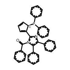 O=C(c1ccccc1)n1c(C2=CC=C[C@H]2P(c2ccccc2)c2ccccc2)nc(-c2ccccc2)c1-c1ccccc1